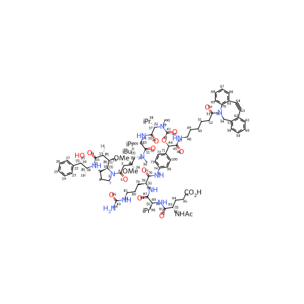 CC[C@H](C)[C@@H]([C@@H](CC(=O)N1CCC[C@H]1[C@H](OC)[C@@H](C)C(=O)N[C@H](C)[C@@H](O)c1ccccc1)OC)N(C)C(=O)[C@@H](NC(=O)[C@H](C(C)C)N(C)C(=O)OC(C(=O)NCCCCCC(=O)N1Cc2ccccc2C#Cc2ccccc21)c1ccc(NC(=O)[C@H](CCCNC(N)=O)NC(=O)[C@@H](NC(=O)[C@H](CCC(=O)O)NC(C)=O)C(C)C)cc1)C(C)C